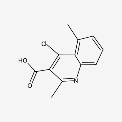 Cc1nc2cccc(C)c2c(Cl)c1C(=O)O